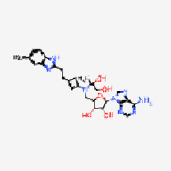 CC(C)(C)c1ccc2[nH]c(CCC3CC(N(C[C@H]4O[C@@H](n5cnc6c(N)ncnc65)[C@H](O)[C@@H]4O)C(C)(O)CO)C3)nc2c1